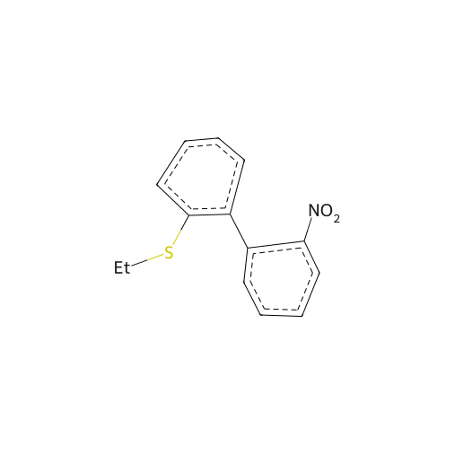 CCSc1ccccc1-c1ccccc1[N+](=O)[O-]